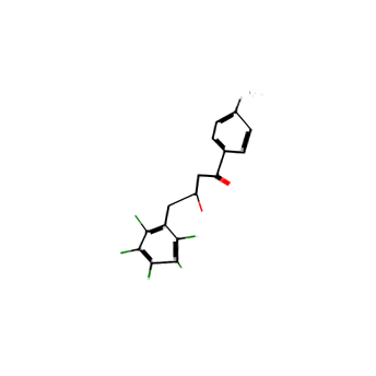 COc1ccc(C(=O)CC(O)Cc2c(F)c(F)c(F)c(F)c2F)cc1